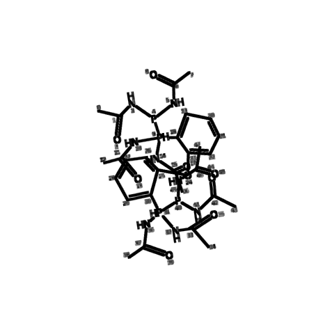 CC(=O)NP(NC(C)=O)[PH](NC(C)=O)(NC(C)=O)c1ccccc1Oc1ccccc1[PH](NC(C)=O)(NC(C)=O)P(NC(C)=O)NC(C)=O